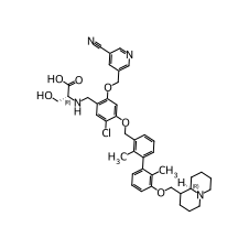 Cc1c(COc2cc(OCc3cncc(C#N)c3)c(CN[C@H](CO)C(=O)O)cc2Cl)cccc1-c1cccc(OCC2CCCN3CCCC[C@H]23)c1C